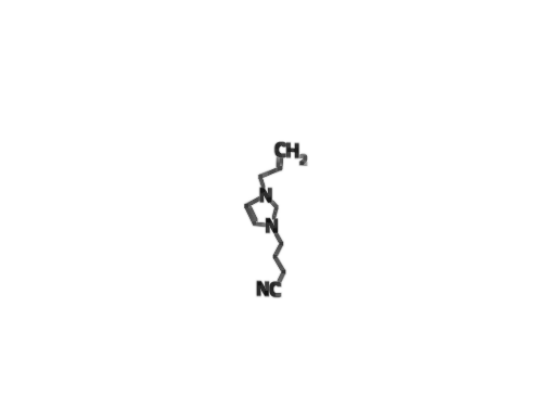 C=CCN1C=CN(CCCC#N)C1